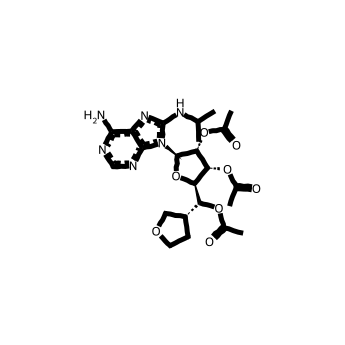 CC(=O)OC([C@@H]1CCOC1)[C@H]1O[C@@H](n2c(NC(C)C)nc3c(N)ncnc32)[C@H](OC(C)=O)[C@@H]1OC(C)=O